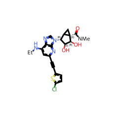 CCNc1cc(C#Cc2ccc(Cl)s2)nc2c1ncn2[C@@H]1C2C[C@@]2(C(=O)NC)[C@@H](O)[C@H]1O